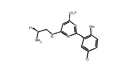 CC[C@H](N)CNc1cc(C(=O)O)nc(-c2cc(Cl)ccc2O)n1